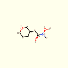 CON(C)C(=O)CC1CCCOC1